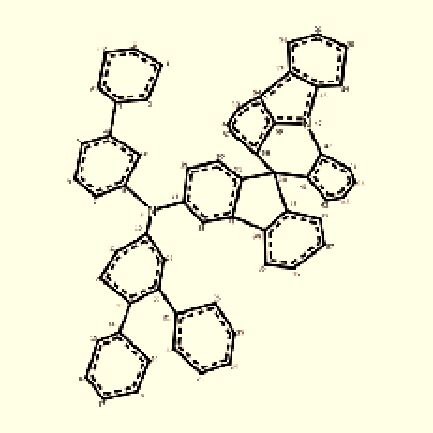 c1ccc(-c2cccc(N(c3ccc(-c4ccccc4)c(-c4ccccc4)c3)c3ccc4c(c3)-c3ccccc3C43c4ccccc4-n4c5ccccc5c5cccc3c54)c2)cc1